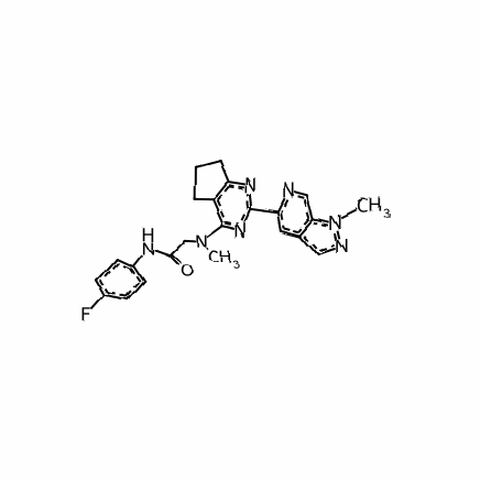 CN(CC(=O)Nc1ccc(F)cc1)c1nc(-c2cc3cnn(C)c3cn2)nc2c1CCC2